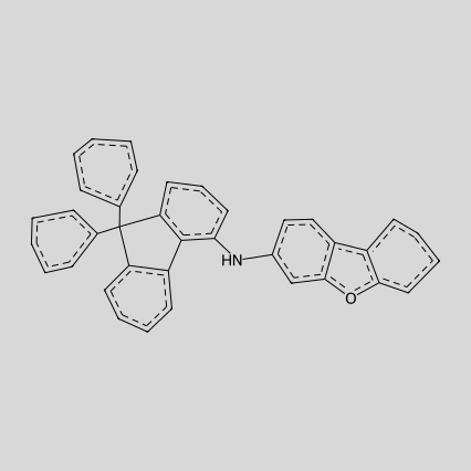 c1ccc(C2(c3ccccc3)c3ccccc3-c3c(Nc4ccc5c(c4)oc4ccccc45)cccc32)cc1